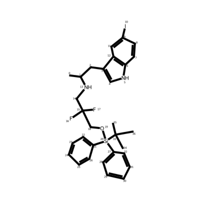 CC(Cc1c[nH]c2ccc(I)cc12)NCC(F)(F)CO[Si](c1ccccc1)(c1ccccc1)C(C)(C)C